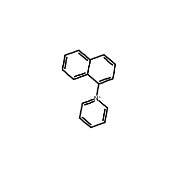 c1cc[n+](-c2cccc3ccccc23)cc1